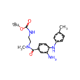 Cc1ccc(Nc2ccc(C(=O)N(C)CCNC(=O)OC(C)(C)C)cc2N)cc1